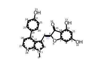 Cn1cc(/C=C2\Oc3cc(O)cc(O)c3C2=O)c2c(-c3ccc(O)cc3)ccnc21